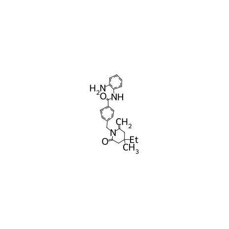 C=C1CC(C)(CC)CC(=O)N1Cc1ccc(C(=O)Nc2ccccc2N)cc1